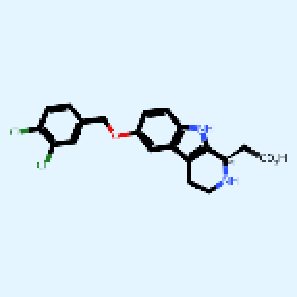 O=C(O)C[C@H]1NCCc2c1[nH]c1ccc(OCc3ccc(Cl)c(Cl)c3)cc21